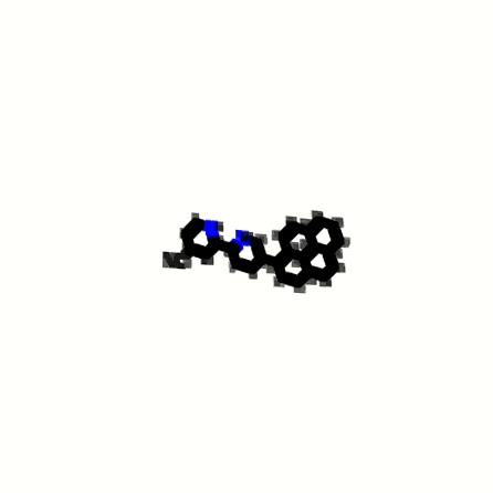 N#Cc1ccnc(-c2ccc(-c3ccc4ccc5cccc6ccc3c4c56)cn2)c1